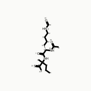 CCCC(C)(NC(=O)[C@H](CCCCNC=O)NC(C)=O)C(=S)I